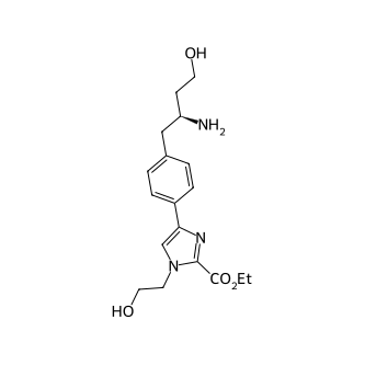 CCOC(=O)c1nc(-c2ccc(C[C@H](N)CCO)cc2)cn1CCO